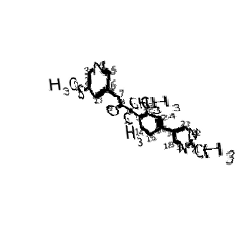 CSc1cncc(CC(=O)C(C)(C)c2ccc(-c3cnc(C)nc3)cc2C)c1